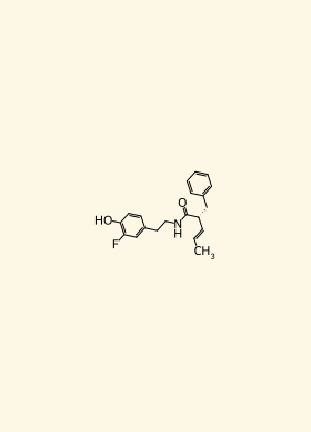 C/C=C/[C@@H](Cc1ccccc1)C(=O)NCCc1ccc(O)c(F)c1